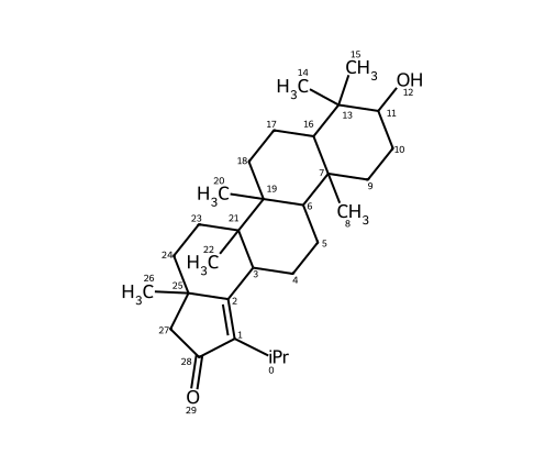 CC(C)C1=C2C3CCC4C5(C)CCC(O)C(C)(C)C5CCC4(C)C3(C)CCC2(C)CC1=O